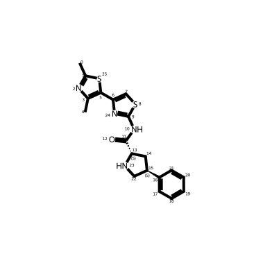 Cc1nc(C)c(-c2csc(NC(=O)[C@@H]3C[C@@H](c4ccccc4)CN3)n2)s1